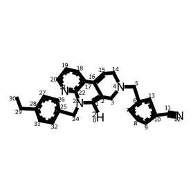 [2H]C1=C2CN(Cc3cccc(C#N)c3)CC=C2c2cccnc2N1Cc1ccc(CC)cc1